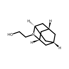 OCCN1[C@H]2C[C@H]3C[C@H](C2)C[C@H]1C3